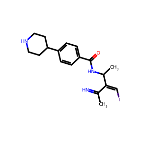 CC(=N)/C(=C\I)C(C)NC(=O)c1ccc(C2CCNCC2)cc1